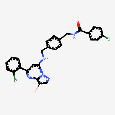 Bc1cnn2c(NCc3ccc(CNC(=O)c4ccc(Cl)cc4)cc3)cc(-c3ccccc3Cl)nc12